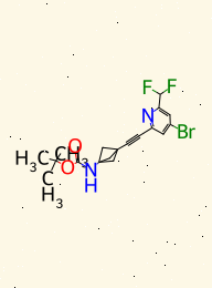 CC(C)(C)OC(=O)NC12CC(C#Cc3cc(Br)cc(C(F)F)n3)(C1)C2